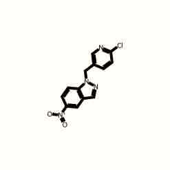 O=[N+]([O-])c1ccc2c(cnn2Cc2ccc(Cl)nc2)c1